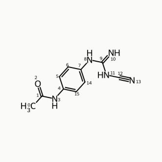 CC(=O)Nc1ccc(NC(=N)NC#N)cc1